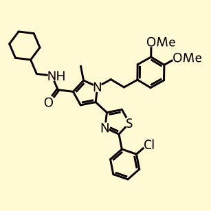 COc1ccc(CCn2c(-c3csc(-c4ccccc4Cl)n3)cc(C(=O)NCC3CCCCC3)c2C)cc1OC